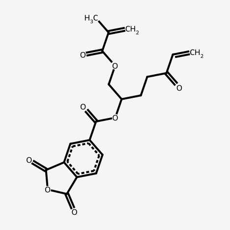 C=CC(=O)CCC(COC(=O)C(=C)C)OC(=O)c1ccc2c(c1)C(=O)OC2=O